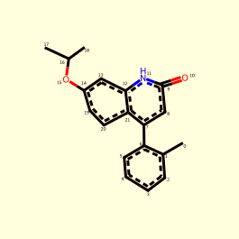 Cc1ccccc1-c1cc(=O)[nH]c2cc(OC(C)C)ccc12